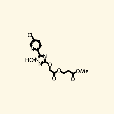 COC(=O)CCOC(=O)COc1nc(-c2ccc(Cl)cn2)n(O)n1